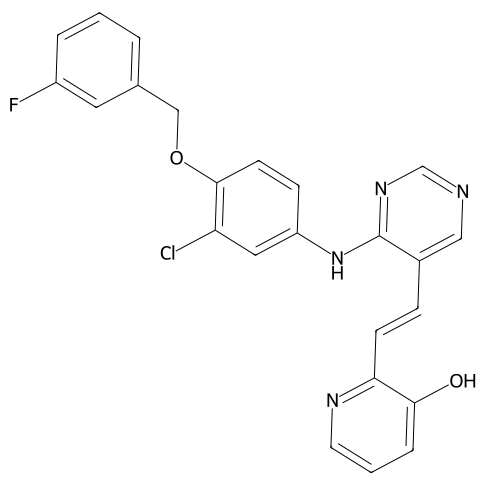 Oc1cccnc1/C=C/c1cncnc1Nc1ccc(OCc2cccc(F)c2)c(Cl)c1